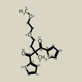 COCCOCCC(C)(C(=O)c1cccs1)C(=O)c1cccs1